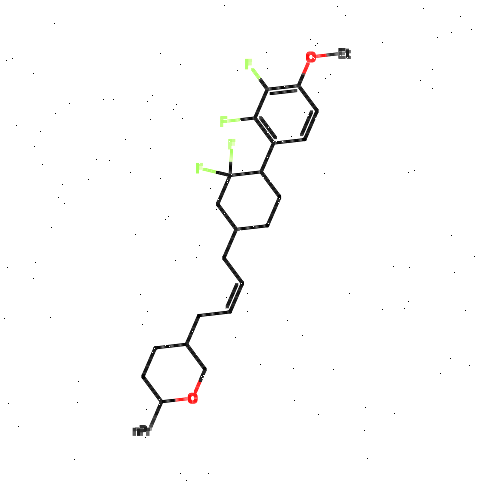 CCCC1CCC(C/C=C\CC2CCC(c3ccc(OCC)c(F)c3F)C(F)(F)C2)CO1